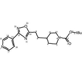 CC(C)(C)OC(=O)N1CCC(CCc2nc(-c3ccncc3)no2)CC1